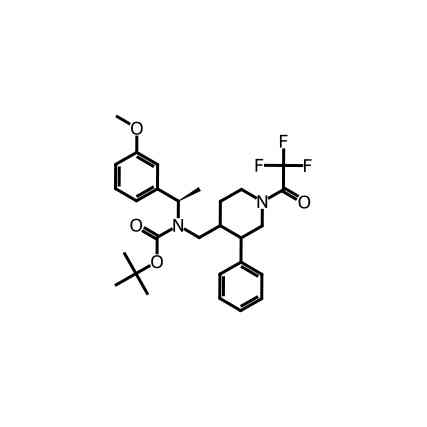 COc1cccc([C@@H](C)N(CC2CCN(C(=O)C(F)(F)F)CC2c2ccccc2)C(=O)OC(C)(C)C)c1